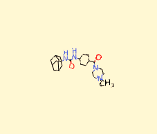 CN1CCN(C(=O)C2CCC(NC(=O)NC34CC5CC(CC(C5)C3)C4)CC2)CC1